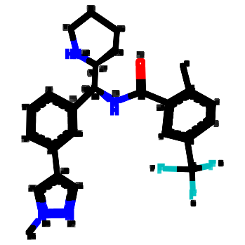 Cc1ccc(C(F)(F)F)cc1C(=O)N[C@@H](c1cccc(-c2cnn(C)c2)c1)[C@@H]1CCCCN1